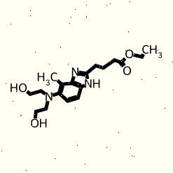 CCOC(=O)CCCc1nc2c(C)c(N(CCO)CCO)ccc2[nH]1